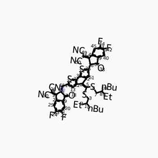 CCCCC(CC)CSC(SCC(CC)CCCC)=C1c2cc(/C=C3\C(=O)c4cc(F)c(F)cc4C3=C(C#N)C#N)sc2-c2sc(C3C(=O)c4cc(F)c(F)cc4C3=C(C#N)C#N)cc21